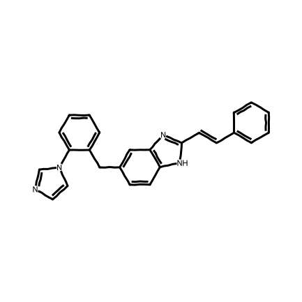 C(=Cc1nc2cc(Cc3ccccc3-n3ccnc3)ccc2[nH]1)c1ccccc1